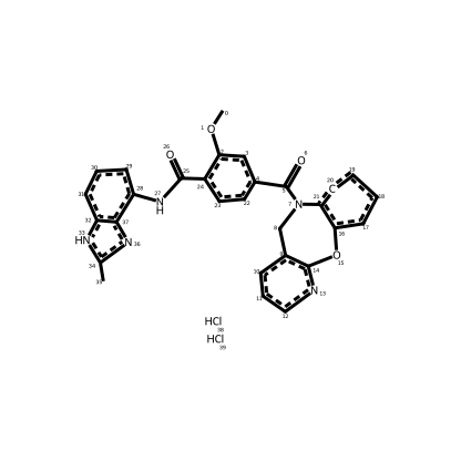 COc1cc(C(=O)N2Cc3cccnc3Oc3ccccc32)ccc1C(=O)Nc1cccc2[nH]c(C)nc12.Cl.Cl